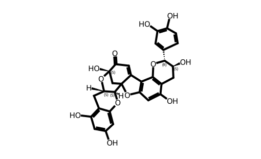 O=C1C=C2c3c(cc(O)c4c3O[C@H](c3ccc(O)c(O)c3)[C@@H](O)C4)OC23C[C@]1(O)O[C@H]1Cc2c(O)cc(O)cc2O[C@@H]13